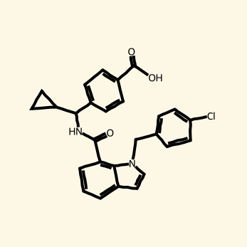 O=C(O)c1ccc(C(NC(=O)c2cccc3ccn(Cc4ccc(Cl)cc4)c23)C2CC2)cc1